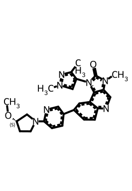 CO[C@H]1CCN(c2ccc(-c3ccc4ncc5c(c4c3)n(-c3cn(C)nc3C)c(=O)n5C)cn2)C1